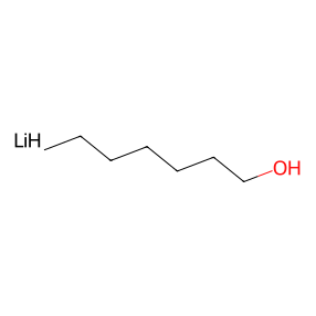 CCCCCCCO.[LiH]